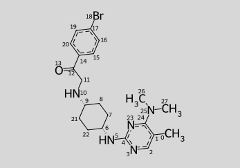 Cc1cnc(N[C@H]2CC[C@@H](NCC(=O)c3ccc(Br)cc3)CC2)nc1N(C)C